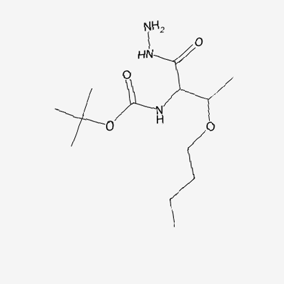 CCCCOC(C)C(NC(=O)OC(C)(C)C)C(=O)NN